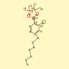 CCCCCCCc1ccc(B2OC(C)(C)C(C)(C)O2)c(Cl)c1